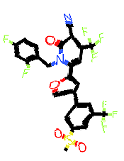 CS(=O)(=O)c1cc(-c2coc(-c3cc(C(F)(F)F)c(C#N)c(=O)n3Cc3ccc(F)cc3F)c2)cc(C(F)(F)F)c1